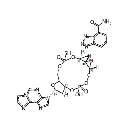 NC(=O)c1cccc2c1nnn2[C@@H]1O[C@@H]2COP(=O)(O)O[C@H]3C[C@H](n4cnc5c4ncn4ccnc54)OC3COP(=O)(S)O[C@@H]1[C@@H]2F